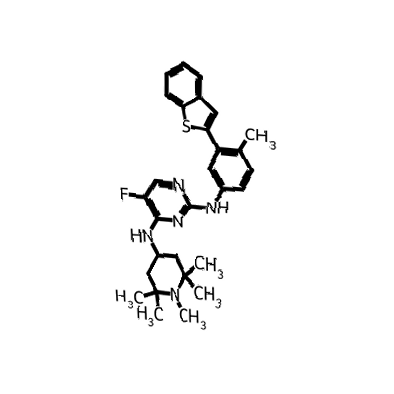 Cc1ccc(Nc2ncc(F)c(NC3CC(C)(C)N(C)C(C)(C)C3)n2)cc1-c1cc2ccccc2s1